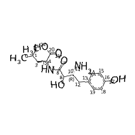 CC(C)C[C@H](NC(=O)C(O)[C@H](N)Cc1ccc(O)cc1)C(=O)O